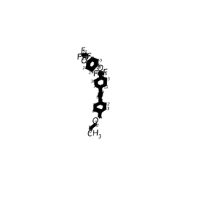 CCCOCC1=CCC(C#CC2CCC(C(F)(F)Oc3ccc(OC(F)(F)F)cc3)CC2)CC1